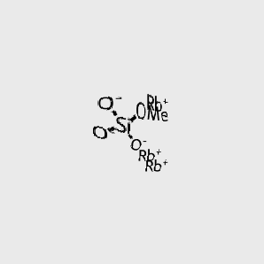 CO[Si]([O-])([O-])[O-].[Rb+].[Rb+].[Rb+]